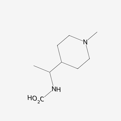 CC(NC(=O)O)C1CCN(C)CC1